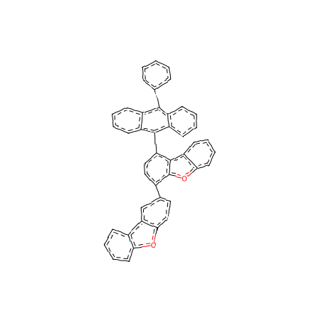 c1ccc(-c2c3ccccc3c(-c3ccc(-c4ccc5oc6ccccc6c5c4)c4oc5ccccc5c34)c3ccccc23)cc1